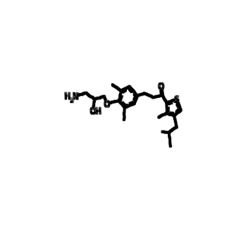 Cc1cc(CCC(=O)c2scc(CC(C)C)c2C)cc(C)c1OCC(O)CN